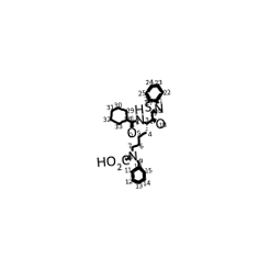 O=C(N[C@@H](CCCCN(Cc1ccccc1)C(=O)O)C(=O)c1nc2ccccc2s1)C1CCCCC1